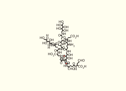 N[C@@H](CCC(=O)NC[C@H](O)[C@@H](O)[C@H](O)[C@H](O)CO)C(=O)N[C@H](CCC(=O)O)C(=O)N[C@@H](CCC(=O)NC[C@H](O)[C@@H](O)[C@H](O)[C@H](O)CO)C(=O)N[C@H](CCC(=O)O)C(=O)N[C@@H](CCC(=O)NC[C@H](O)[C@@H](O)[C@H](O)[C@H](O)CO)C(=O)N[C@H](CSC1CC(=O)N(CCC(=O)N[C@H](C=O)CCC(=O)N[C@@H](CCC=O)C(=O)O)C1=O)C(=O)O